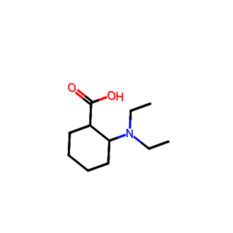 CCN(CC)C1CCCCC1C(=O)O